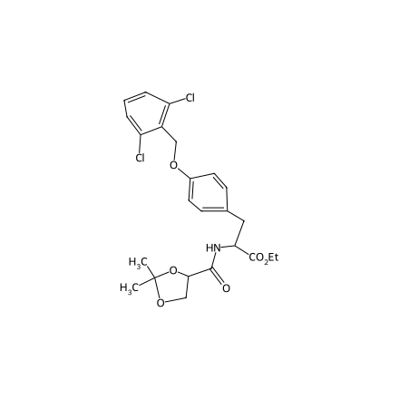 CCOC(=O)C(Cc1ccc(OCc2c(Cl)cccc2Cl)cc1)NC(=O)C1COC(C)(C)O1